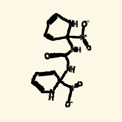 O=C(NC1([N+](=O)[O-])C=CC=CN1)NC1([N+](=O)[O-])C=CC=CN1